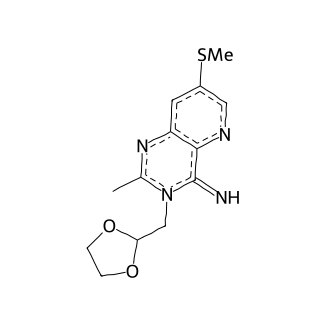 CSc1cnc2c(=N)n(CC3OCCO3)c(C)nc2c1